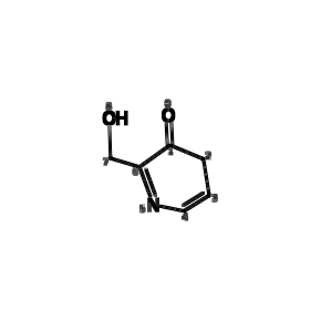 O=C1CC=CN=C1CO